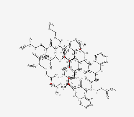 CC(=O)N[C@@H](CCC(N)=O)C(=O)N[C@@H](CCC(N)=O)C(=O)N[C@@H](CCCCN)C(=O)N[C@@H](Cc1ccccc1)C(=O)N[C@@H](CCC(N)=O)C(=O)N[C@@H](Cc1ccccc1)C(=O)N[C@@H](CCC(N)=O)C(=O)N[C@@H](Cc1ccccc1)C(=O)N[C@@H](CCC(=O)O)C(=O)N[C@@H](CCC(N)=O)C(=O)N[C@@H](CCC(N)=O)C(=O)O